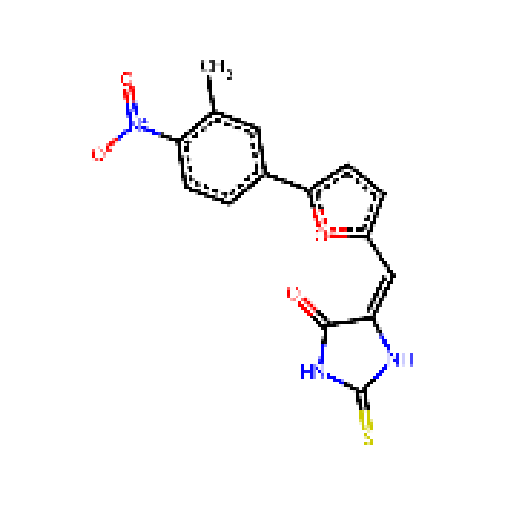 Cc1cc(-c2ccc(C=C3NC(=S)NC3=O)o2)ccc1[N+](=O)[O-]